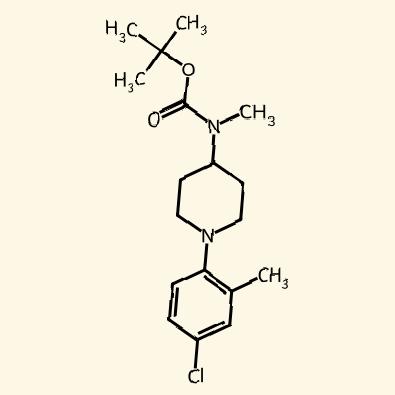 Cc1cc(Cl)ccc1N1CCC(N(C)C(=O)OC(C)(C)C)CC1